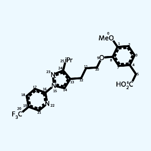 COc1ccc(CC(=O)O)cc1OCCCc1cn(-c2ccc(C(F)(F)F)cn2)nc1C(C)C